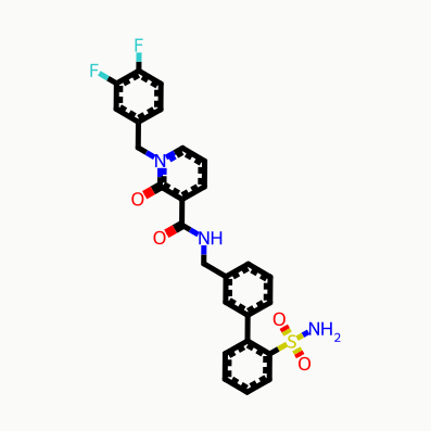 NS(=O)(=O)c1ccccc1-c1cccc(CNC(=O)c2cccn(Cc3ccc(F)c(F)c3)c2=O)c1